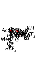 CC(=O)OCC(=O)[C@@]12OC(C)(C)O[C@@H]1C[C@H]1[C@@H]3C[C@H](F)C4=CC(=O)C=C[C@]4(C)[C@@]3(F)[C@@H](O)C[C@@]12C.CC(=O)OCC(=O)[C@@]12OC(C)(C)O[C@@H]1C[C@H]1[C@@H]3C[C@H](F)C4=CC(=O)C=C[C@]4(C)[C@@]3(F)[C@@H](O)C[C@@]12C.CNCCC(Oc1ccc(C(F)(F)F)cc1)c1ccccc1.F.Nc1[nH]c(=O)ncc1F.OCCN1CCN(CCCN2c3ccccc3Sc3ccc(C(F)(F)F)cc32)CC1